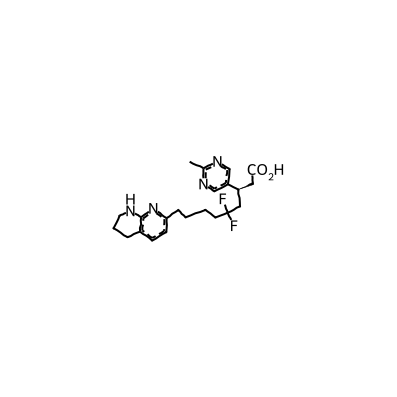 Cc1ncc([C@@H](CC(=O)O)CC(F)(F)CCCCc2ccc3c(n2)NCCC3)cn1